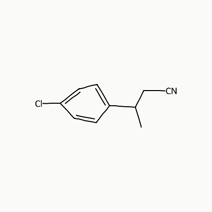 CC(CC#N)c1ccc(Cl)cc1